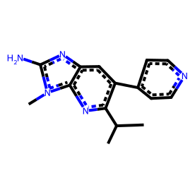 CC(C)c1nc2c(cc1-c1ccncc1)nc(N)n2C